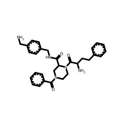 NCc1ccc(CNC(=O)C2CN(C(=O)c3ccccc3)CCN2C(=O)C(N)CCc2ccccc2)cc1